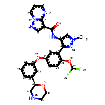 Cn1cc(NC(=O)c2cnn3cccnc23)c(-c2cc(Oc3cccc([C@@H]4CNCCO4)c3)ccc2OC(F)F)n1